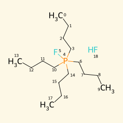 CCCCP(F)(CCCC)(CCCC)CCCC.F